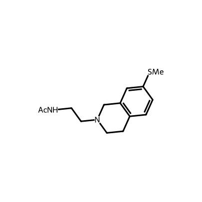 CSc1ccc2c(c1)CN(CCNC(C)=O)CC2